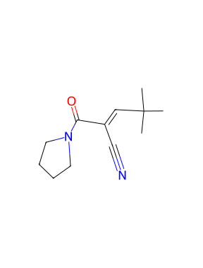 CC(C)(C)C=C(C#N)C(=O)N1CCCC1